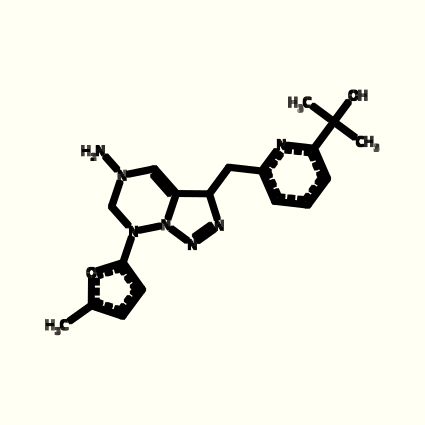 Cc1ccc(N2CN(N)C=C3C(Cc4cccc(C(C)(C)O)n4)N=NN32)o1